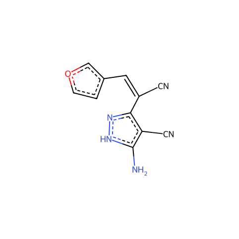 N#CC(=Cc1ccoc1)c1n[nH]c(N)c1C#N